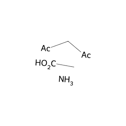 CC(=O)CC(C)=O.CC(=O)O.N